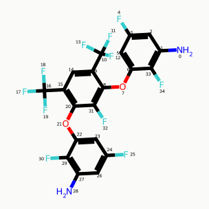 Nc1cc(F)cc(Oc2c(C(F)(F)F)cc(C(F)(F)F)c(Oc3cc(F)cc(N)c3F)c2F)c1F